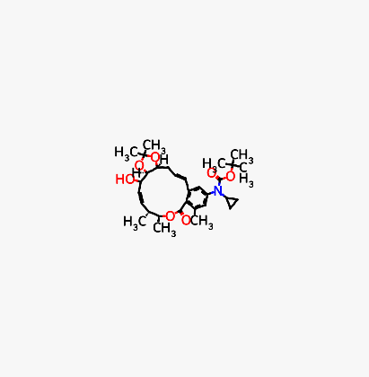 Cc1cc(N(C(=O)OC(C)(C)C)C2CC2)cc2c1C(=O)O[C@@H](C)[C@H](C)/C=C\C(O)[C@H]1OC(C)(C)O[C@H]1C/C=C/2